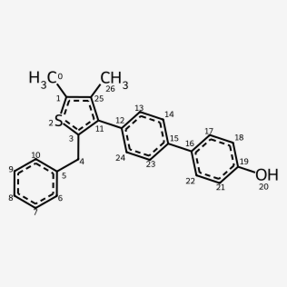 Cc1sc(Cc2ccccc2)c(-c2ccc(-c3ccc(O)cc3)cc2)c1C